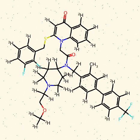 [2H]c1c([2H])c(F)c(F)c(CSc2c([2H])c(=O)c3c([2H])c([2H])c([2H])c([2H])c3n2CC(=O)N(C([2H])([2H])c2c([2H])c([2H])c(-c3c([2H])c([2H])c(C(F)(F)F)c([2H])c3[2H])c([2H])c2C)C2([2H])C([2H])([2H])C([2H])([2H])N(C([2H])([2H])COC([2H])([2H])[2H])C([2H])([2H])C2([2H])[2H])c1[2H]